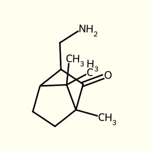 CC12CCC(C(CN)C1=O)C2(C)C